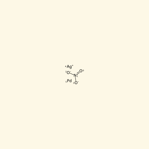 O=[N+]([O-])[O-].[Ag+].[Pd]